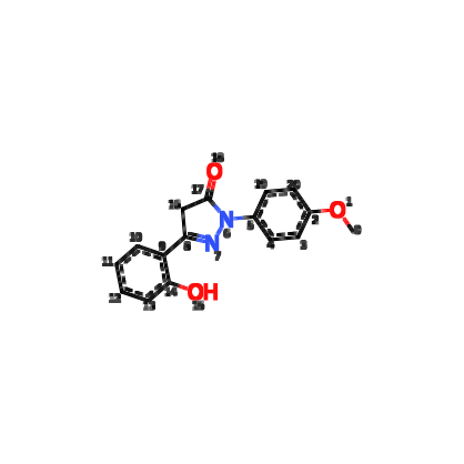 COc1ccc(N2N=C(c3ccccc3O)CC2=O)cc1